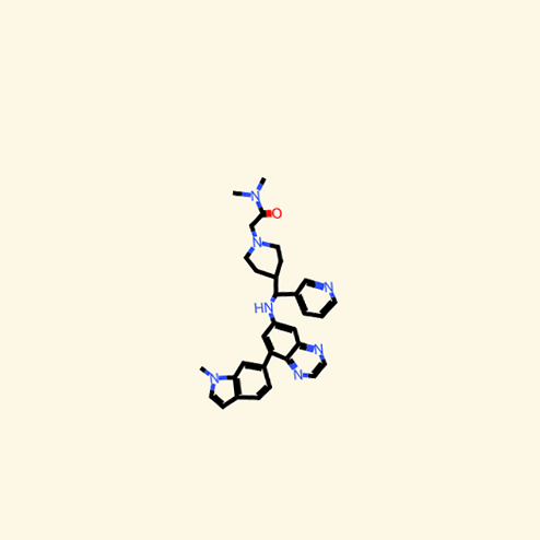 CN(C)C(=O)CN1CCC(C(Nc2cc(-c3ccc4ccn(C)c4c3)c3nccnc3c2)c2cccnc2)CC1